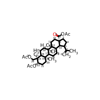 C=C(C)C1CC[C@]2(C(=O)OC(C)=O)CC[C@]3(C)C(CCC4[C@@]5(C)CC[C@H](OC(C)=O)[C@@](C)(COC(C)=O)C5CC[C@]43C)C12